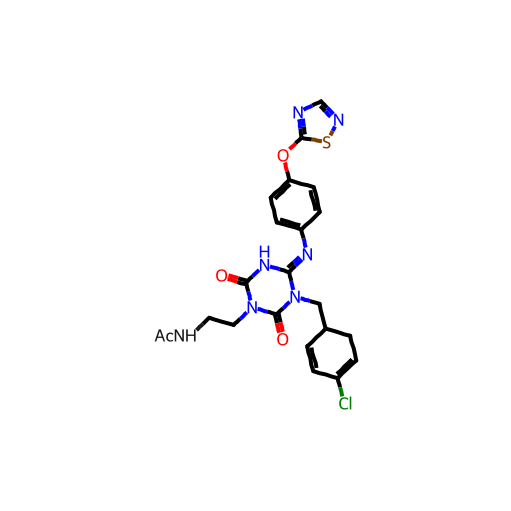 CC(=O)NCCn1c(=O)[nH]/c(=N\c2ccc(Oc3ncns3)cc2)n(CC2C=CC(Cl)=CC2)c1=O